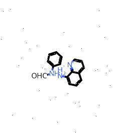 Nc1cccc2cccnc12.O=CNc1ccccc1